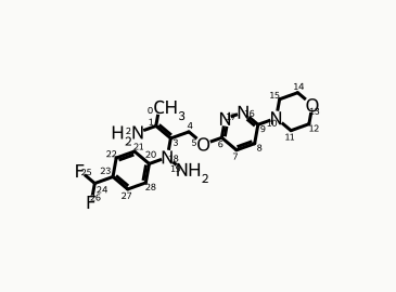 C/C(N)=C(\COc1ccc(N2CCOCC2)nn1)N(N)c1ccc(C(F)F)cc1